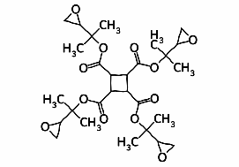 CC(C)(OC(=O)C1C(C(=O)OC(C)(C)C2CO2)C(C(=O)OC(C)(C)C2CO2)C1C(=O)OC(C)(C)C1CO1)C1CO1